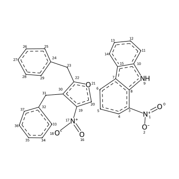 O=[N+]([O-])c1cccc2c1[nH]c1ccccc12.O=[N+]([O-])c1coc(Cc2ccccc2)c1Cc1ccccc1